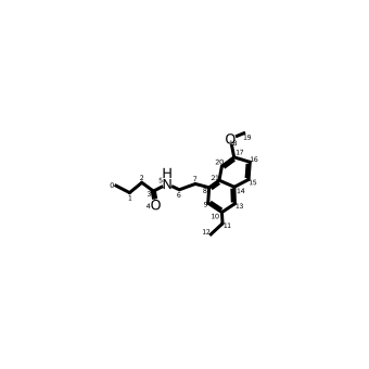 CCCC(=O)NCCc1cc(CC)cc2ccc(OC)cc12